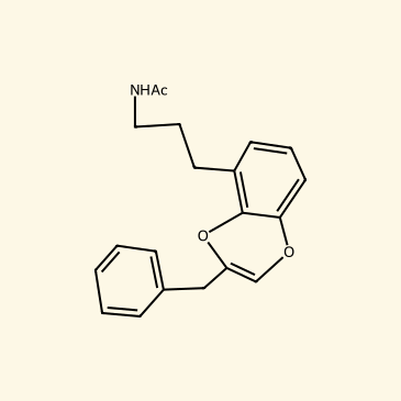 CC(=O)NCCCc1cccc2c1OC(Cc1ccccc1)=CO2